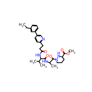 CCc1cccc(-c2ccc(CCC(=O)NC(C(=O)NC(C)C(=O)N3CCCC(C(=O)OC)N3)C(C)C)nc2)c1